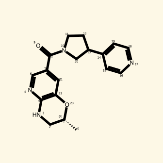 C[C@@H]1CNc2ncc(C(=O)N3CCC(c4ccncc4)C3)cc2O1